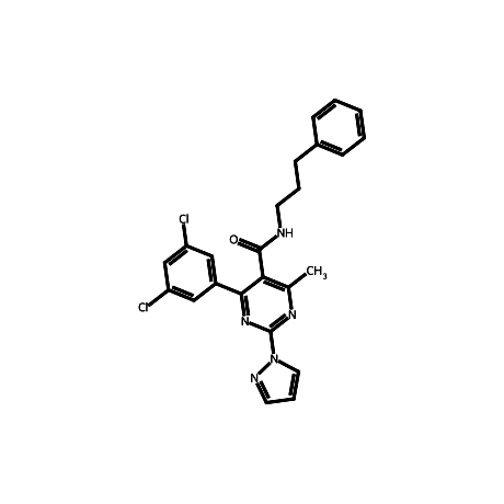 Cc1nc(-n2cccn2)nc(-c2cc(Cl)cc(Cl)c2)c1C(=O)NCCCc1ccccc1